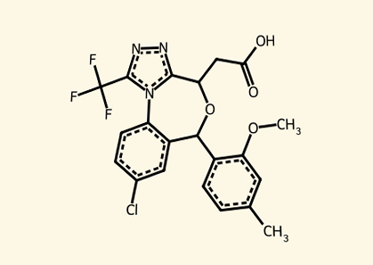 COc1cc(C)ccc1C1OC(CC(=O)O)c2nnc(C(F)(F)F)n2-c2ccc(Cl)cc21